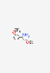 CCOCC[C@H](N)c1cccc(OC(F)(F)F)c1